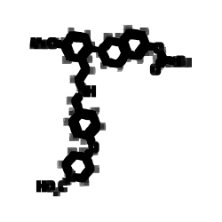 COc1ccc([C@@H]2CCc3cc(OC(=O)C(C)(C)C)ccc3C2)c(CCNCc2ccc(OC3CCN(C(=O)O)CC3)cc2)c1